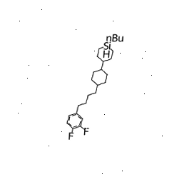 CCCC[SiH]1CCC(C2CCC(CCCCc3ccc(F)c(F)c3)CC2)CC1